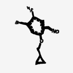 Cc1cc(N=O)c(OCC2CC2)cc1Br